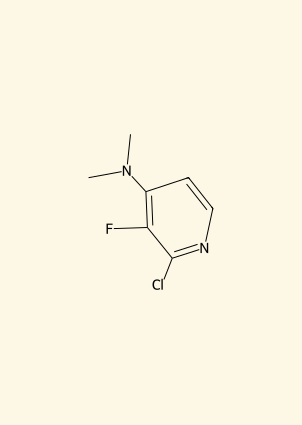 CN(C)c1ccnc(Cl)c1F